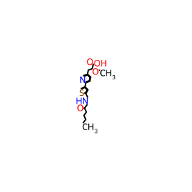 CCCCCC(=O)CNCc1cc(-c2ccc(CC(OCC)C(=O)O)cn2)cs1